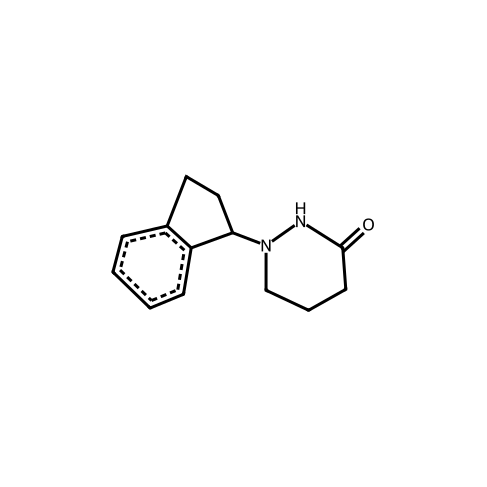 O=C1CCCN(C2CCc3ccccc32)N1